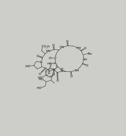 CCC(C)C1NC(=O)CNC(=O)C2Cc3c([nH]c4cc(O)ccc34)[S+]([O-])CC(NC(=O)CNC1=O)C(=O)NC(CC(=O)O)C(=O)N1CC(O)CC1C(=O)NC(C(C)C(O)CO)C(=O)N2